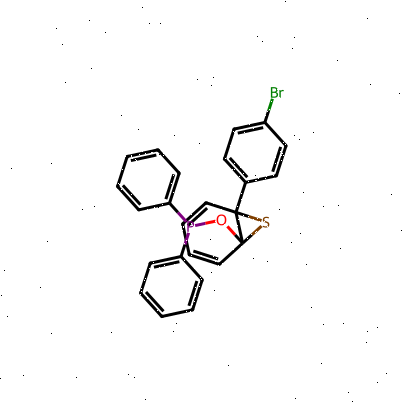 Brc1ccc(C23C=CC=CC2(OP(c2ccccc2)c2ccccc2)S3)cc1